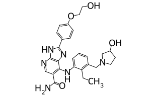 CCc1c(CN2CCC(O)C2)cccc1Nc1c(C(N)=O)cnc2[nH]c(-c3ccc(OCCO)cc3)nc12